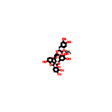 COC(=O)[C@@H](Cc1ccc(O)c(O)c1)OC(=O)/C=C/c1ccc(O)c2c1[C@@](C(=O)O)([C@@H](Cc1ccc(O)c(O)c1)C(=O)OC)[C@H](c1ccc(O)c(O)c1)O2